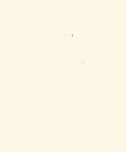 CCOc1ccc(-c2c(N)c(C(=O)OC)nn2-c2ccc(Oc3ccccc3)cc2)cc1